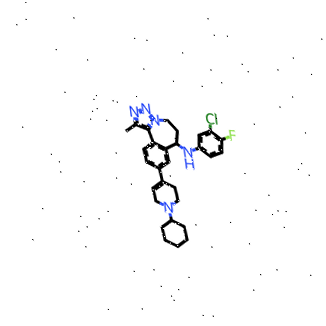 Cc1nnn2c1-c1ccc(C3=CCN(C4CCCCC4)CC3)cc1C(Nc1ccc(F)c(Cl)c1)CC2